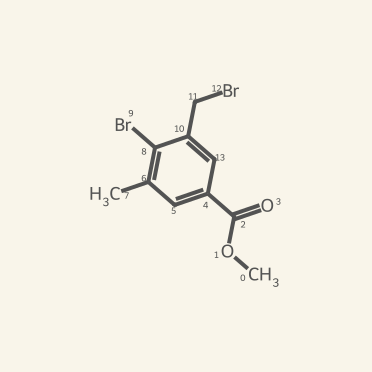 COC(=O)c1cc(C)c(Br)c(CBr)c1